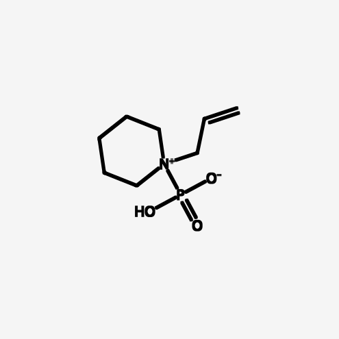 C=CC[N+]1(P(=O)([O-])O)CCCCC1